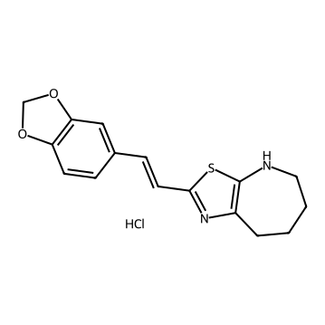 C(=C\c1nc2c(s1)NCCCC2)/c1ccc2c(c1)OCO2.Cl